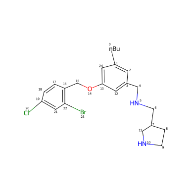 CCCCc1cc(CNCC2CCNC2)cc(OCc2ccc(Cl)cc2Br)c1